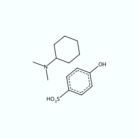 CN(C)C1CCCCC1.O=S(=O)(O)c1ccc(O)cc1